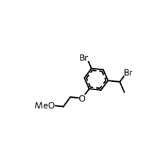 COCCOc1cc(Br)cc(C(C)Br)c1